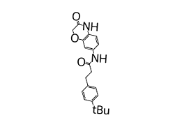 CC(C)(C)c1ccc(CCC(=O)Nc2ccc3c(c2)OCC(=O)N3)cc1